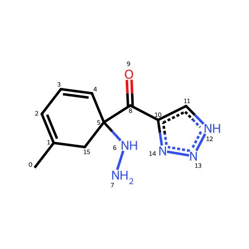 CC1=CC=CC(NN)(C(=O)c2c[nH]nn2)C1